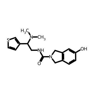 CN(C)C(CNC(=O)N1Cc2ccc(O)cc2C1)c1ccsc1